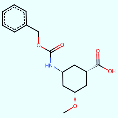 CO[C@@H]1C[C@H](NC(=O)OCc2ccccc2)C[C@H](C(=O)O)C1